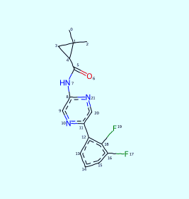 CC1(C)CC1C(=O)Nc1cnc(-c2cccc(F)c2F)cn1